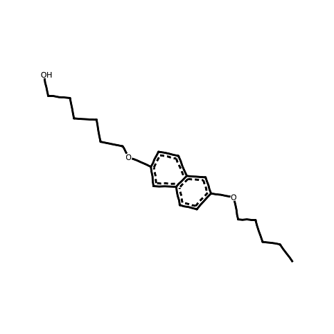 CCCCCOc1ccc2cc(OCCCCCCO)ccc2c1